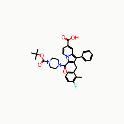 Cc1c(F)cccc1Cc1c(-c2ccccc2)c2cc(C(=O)O)ccn2c1C(=O)N1CCN(C(=O)OC(C)(C)C)CC1